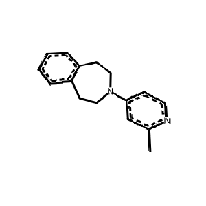 Cc1cc(N2CCc3ccccc3CC2)ccn1